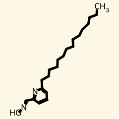 CCCCCCCCCCCCCCCc1cccc(/C=N/O)n1